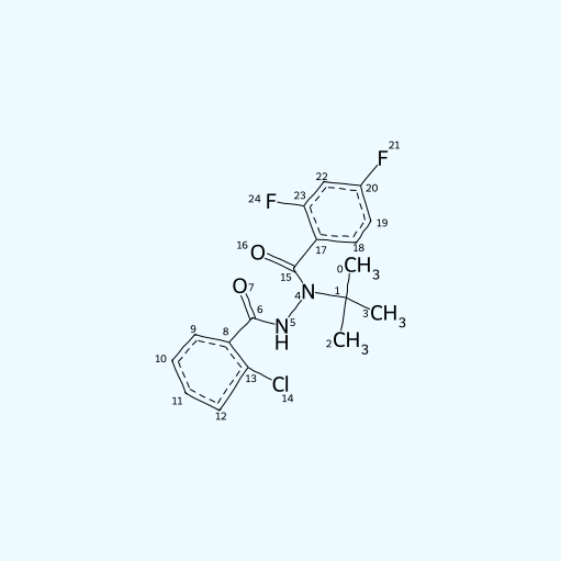 CC(C)(C)N(NC(=O)c1ccccc1Cl)C(=O)c1ccc(F)cc1F